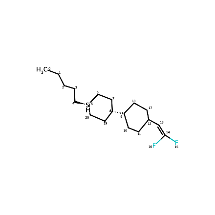 CCCCC[Si@H]1CC[C@H](C2CCC(C=C(F)F)CC2)CC1